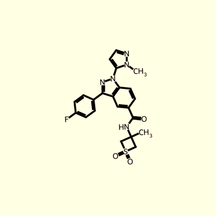 Cn1nccc1-n1nc(-c2ccc(F)cc2)c2cc(C(=O)NC3(C)CS(=O)(=O)C3)ccc21